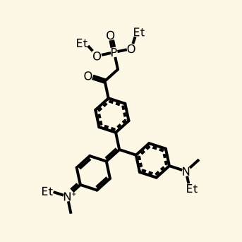 CCOP(=O)(CC(=O)c1ccc(C(=C2C=CC(=[N+](C)CC)C=C2)c2ccc(N(C)CC)cc2)cc1)OCC